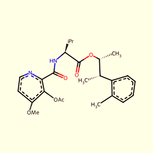 COc1ccnc(C(=O)N[C@H](C(=O)O[C@H](C)[C@@H](C)c2ccccc2C)C(C)C)c1OC(C)=O